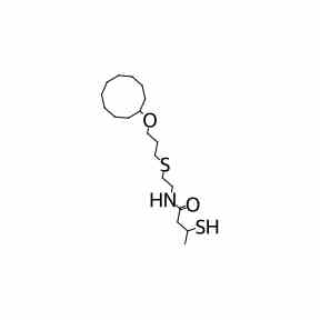 CC(S)CC(=O)NCCSCCCOC1CCCCCCCCC1